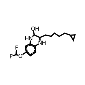 OC1Nc2cc(OC(F)F)ccc2NC1CCCCCC1CC1